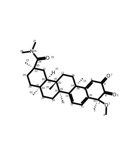 CO[C@]1(C)C(=O)C(=O)C=C2C1=CC=C1[C@@]2(C)CC[C@@]2(C)[C@@H]3C[C@](C)(C(=O)N(C)C)CC[C@]3(C)CC[C@]12C